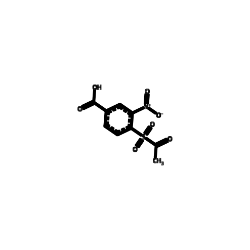 CC(=O)S(=O)(=O)c1ccc(C(=O)O)cc1[N+](=O)[O-]